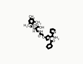 Cc1cc(C)c(S(=O)(=O)NC(CNC(=O)COC2CC(C(N)c3ccccn3)N(C(=O)C3CCCCC3)C2)C(=O)O)c(C)c1